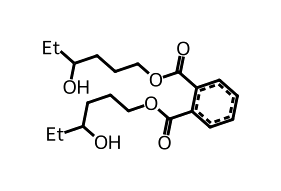 CCC(O)CCCOC(=O)c1ccccc1C(=O)OCCCC(O)CC